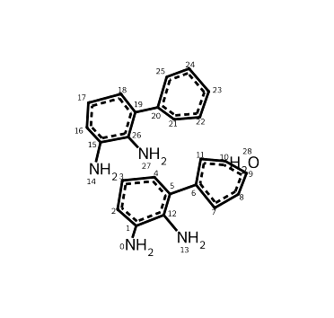 Nc1cccc(-c2ccccc2)c1N.Nc1cccc(-c2ccccc2)c1N.O